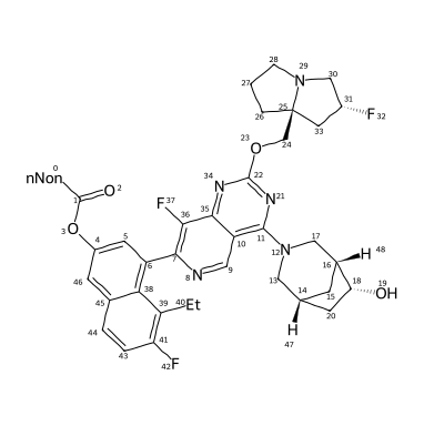 CCCCCCCCCC(=O)Oc1cc(-c2ncc3c(N4C[C@@H]5C[C@H](C4)[C@H](O)C5)nc(OC[C@@]45CCCN4C[C@H](F)C5)nc3c2F)c2c(CC)c(F)ccc2c1